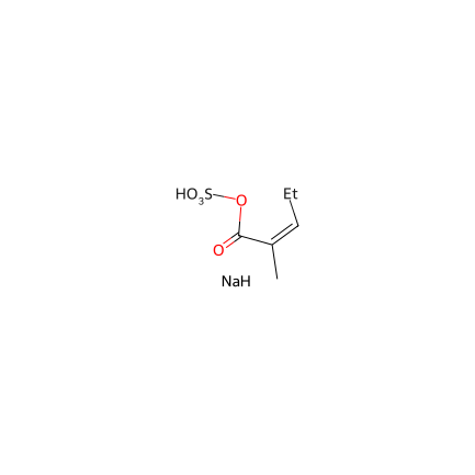 CCC=C(C)C(=O)OS(=O)(=O)O.[NaH]